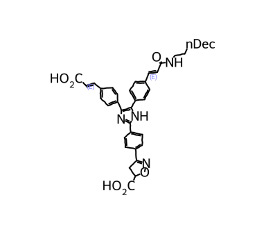 CCCCCCCCCCCCNC(=O)/C=C/c1ccc(-c2[nH]c(-c3ccc(C4=NOC(C(=O)O)C4)cc3)nc2-c2ccc(/C=C/C(=O)O)cc2)cc1